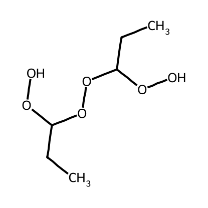 CCC(OO)OOC(CC)OO